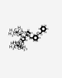 CC(C)(C)OC(=O)N1C[C@H](O[Si](C)(C)C(C)(C)C)C[C@H]1c1nccn1Cc1cccc(OCc2ccccc2)c1